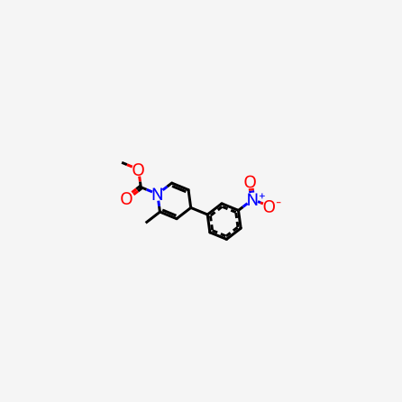 COC(=O)N1C=CC(c2cccc([N+](=O)[O-])c2)C=C1C